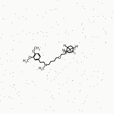 COc1ccc(CCN(C)CCCCOCC[C@@H]2CC[C@H]3C[C@@H]2C3(C)C)cc1OC